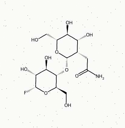 NC(=O)C[C@@H]1[C@H](O[C@H]2[C@H](O)[C@@H](O)[C@@H](F)O[C@@H]2CO)O[C@H](CO)[C@@H](O)[C@@H]1O